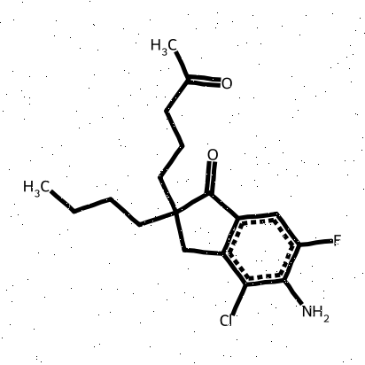 CCCCC1(CCCC(C)=O)Cc2c(cc(F)c(N)c2Cl)C1=O